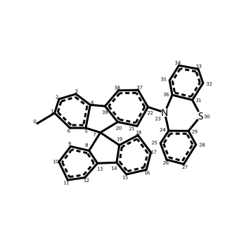 Cc1ccc2c(c1)C1(c3ccccc3-c3ccccc31)c1cc(N3c4ccccc4Sc4ccccc43)ccc1-2